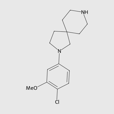 COc1cc(N2CCC3(CCNCC3)C2)ccc1Cl